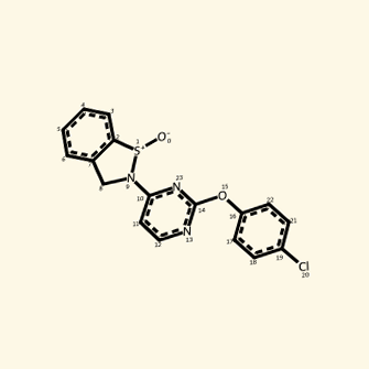 [O-][S+]1c2ccccc2CN1c1ccnc(Oc2ccc(Cl)cc2)n1